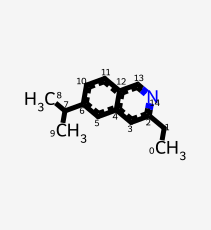 CCc1cc2cc(C(C)C)ccc2cn1